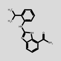 CC(C)c1ccccc1Nc1nc2cc[c]c(C(N)=O)c2[nH]1